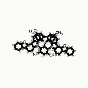 Cc1ccc2c(c1)c1cc(C)ccc1n2-c1c(-n2c3ccccc3c3c4oc5ccccc5c4ccc32)c(C#N)cc(C#N)c1-n1c2ccccc2c2c3oc4ccccc4c3ccc21